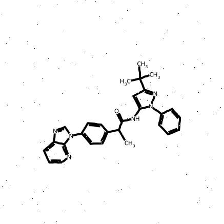 CC(C(=O)Nc1cc(C(C)(C)C)nn1-c1ccccc1)c1ccc(-n2cnc3cccnc32)cc1